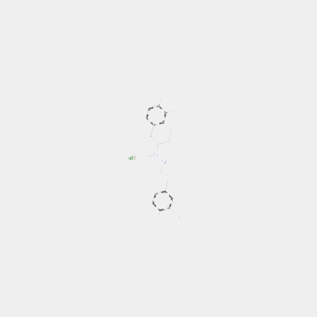 Br.Br.CCCCCCN(NCCc1ccc(O)c([N+](=O)[O-])c1)C1CCc2c(ccc(O)c2O)C1